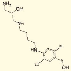 NCC(O)CNCCCCNc1cc(F)c(SO)cc1Cl